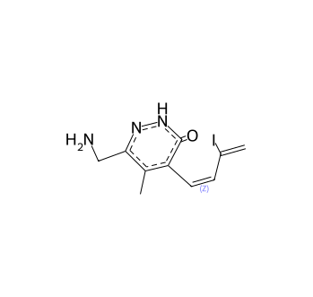 C=C(I)/C=C\c1c(C)c(CN)n[nH]c1=O